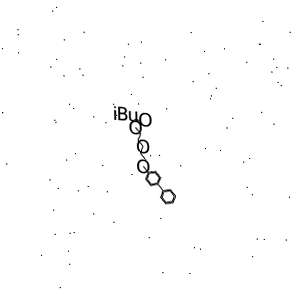 CCC(C)C(=O)OCCOCCOc1ccc(-c2ccccc2)cc1